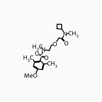 COc1cc(C)c(S(=O)(=O)N(C)CCOCC(=O)N(C)C2CCC2)c(C)c1